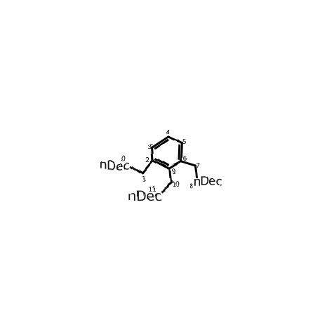 CCCCCCCCCCCc1[c]ccc(CCCCCCCCCCC)c1CCCCCCCCCCC